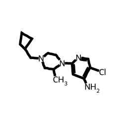 CC1CN(CC2CCC2)CCN1c1cc(N)c(Cl)cn1